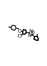 Cc1ccccc1-c1nc(-c2ccc(OCC3CCC(C)CC3)c(Cl)c2)no1